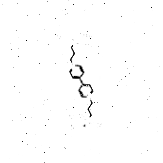 CO[Si](CCC[n+]1ccc(-c2cc[n+](CCC[Si](OC)(OC)OC)cc2)cc1)(OC)OC.[I-].[I-]